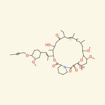 CC#CCOC1CCC(C=C(C)C2OC(=O)C3CCCCN3C(=O)C(=O)C3(O)OC(C(OC)CC(C)C/C(C)=C/C(CC)C(=O)CC(O)C2C)C(OC)CC3C)CC1OC